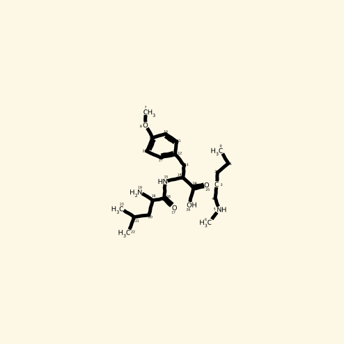 CCCCCNC.COc1ccc(CC(NC(=O)C(N)CC(C)C)C(=O)O)cc1